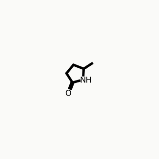 C[C]1CCC(=O)N1